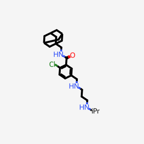 CC(C)NCCCNCc1ccc(Cl)c(C(=O)NCC23CC4CC(CC(C4)C2)C3)c1